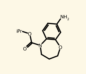 CC(C)OC(=O)N1CCCOc2cc(N)ccc21